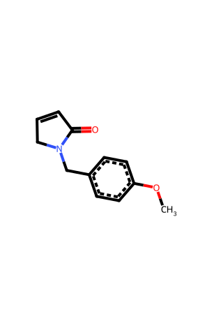 COc1ccc(CN2CC=CC2=O)cc1